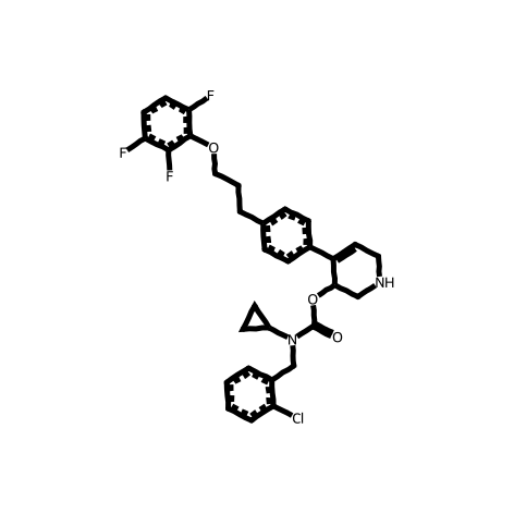 O=C(OC1CNCC=C1c1ccc(CCCOc2c(F)ccc(F)c2F)cc1)N(Cc1ccccc1Cl)C1CC1